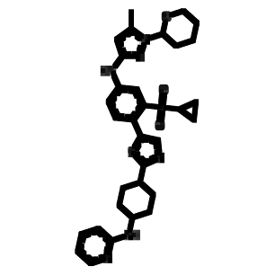 Cc1cc(Nc2ccc(-c3cnc(C4CCC(Nc5ccccn5)CC4)s3)c(S(=O)(=O)C3CC3)c2)nn1C1CCCCO1